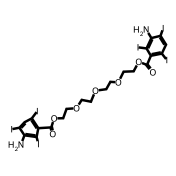 Nc1c(I)cc(I)c(C(=O)OCCOCCOCCOCCOC(=O)c2c(I)cc(I)c(N)c2I)c1I